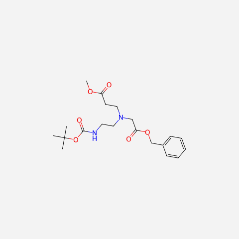 COC(=O)CCN(CCNC(=O)OC(C)(C)C)CC(=O)OCc1ccccc1